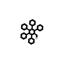 O=Cc1c(-c2ccccc2)c(-c2ccccc2)c(-c2ccccc2)c(-c2ccccc2)c1-c1ccccc1